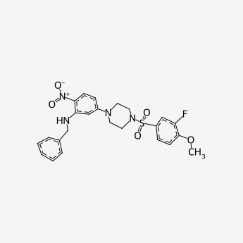 COc1ccc(S(=O)(=O)N2CCN(c3ccc([N+](=O)[O-])c(NCc4ccccc4)c3)CC2)cc1F